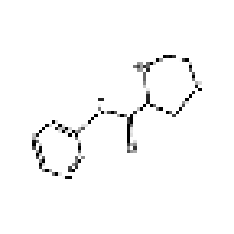 O=C(Nc1ccccc1)C1CSCCN1